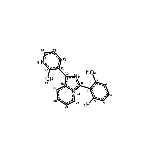 Oc1cccc(F)c1-c1nc(-c2cccnc2O)c2ccccn12